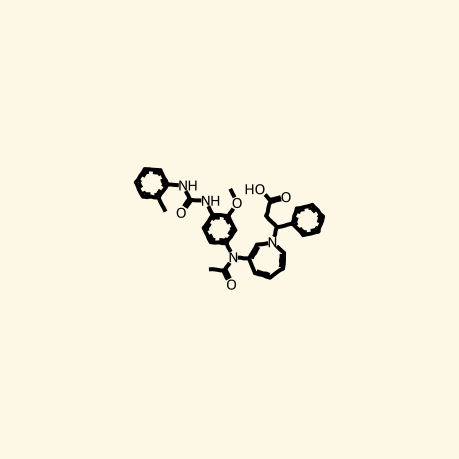 COc1cc(N(C(C)=O)C2=CN(C(CC(=O)O)c3ccccc3)C=CC=C2)ccc1NC(=O)Nc1ccccc1C